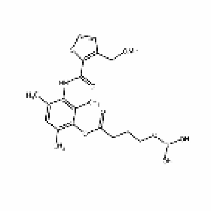 COCc1ccsc1C(=O)Nc1c(C)cc(C)c(OC(=O)CCCON(O)O)c1C